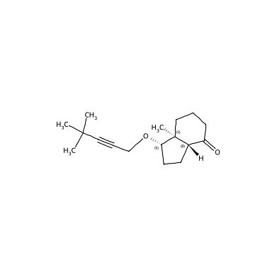 CC(C)(C)C#CCO[C@H]1CC[C@H]2C(=O)CCC[C@]12C